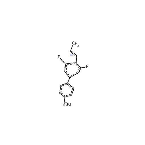 CCCCc1ccc(-c2cc(F)c(/C=C/C(F)(F)F)c(F)c2)cc1